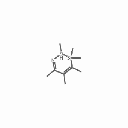 CC1=N[SiH](C)[Si](C)(C)C(C)=C1C